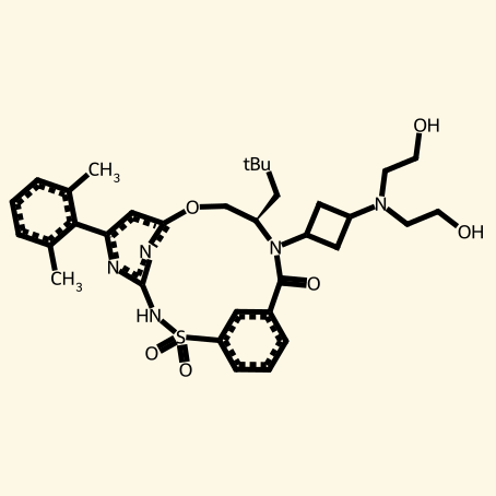 Cc1cccc(C)c1-c1cc2nc(n1)NS(=O)(=O)c1cccc(c1)C(=O)N(C1CC(N(CCO)CCO)C1)[C@H](CC(C)(C)C)CO2